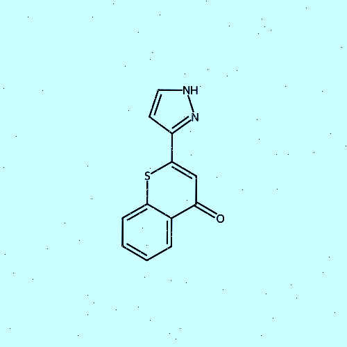 O=c1cc(-c2cc[nH]n2)sc2ccccc12